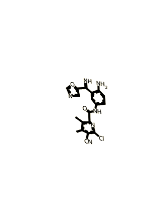 Cc1c(C(=O)Nc2ccc(N)c(C(=N)c3cnco3)c2)nc(Cl)c(C#N)c1C